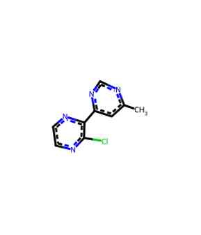 Cc1cc(-c2nccnc2Cl)ncn1